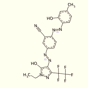 CCn1nc(C(F)(F)C(F)(F)F)c(/N=N/c2ccc(/N=N/c3ccc(C)cc3O)c(C#N)c2)c1O